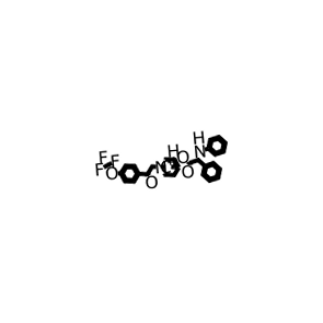 O=C(C[N+]12CCC(CC1)[C@@H](OC(=O)[C@H](Nc1ccccc1)c1ccccc1)C2)c1ccc(OC(F)(F)F)cc1